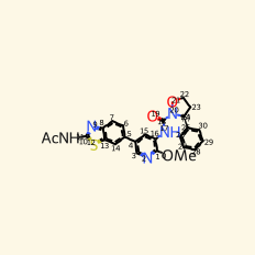 COc1ncc(-c2ccc3nc(NC(C)=O)sc3c2)cc1NC(=O)N1OCC[C@H]1c1ccccc1